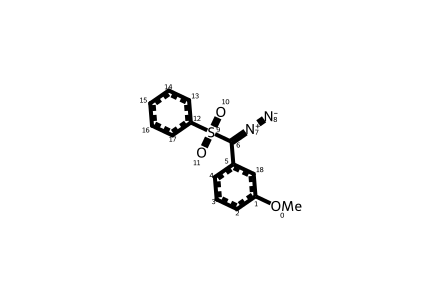 COc1cccc(C(=[N+]=[N-])S(=O)(=O)c2ccccc2)c1